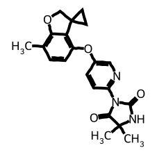 Cc1ccc(Oc2ccc(N3C(=O)NC(C)(C)C3=O)nc2)c2c1OCC21CC1